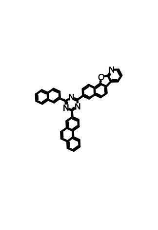 c1ccc2cc(-c3nc(-c4ccc5c(ccc6ccccc65)c4)nc(-c4ccc5c(ccc6c7cccnc7oc56)c4)n3)ccc2c1